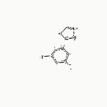 Fc1cc(F)cc([C@@H]2CC=NN2)c1